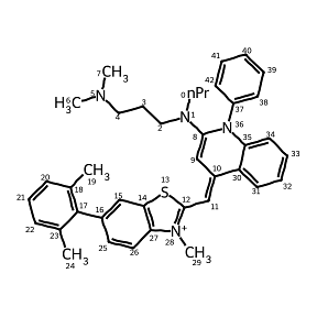 CCCN(CCCN(C)C)C1=CC(=Cc2sc3cc(-c4c(C)cccc4C)ccc3[n+]2C)c2ccccc2N1c1ccccc1